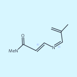 C=C(C)/C=N\C=C\C(=O)NC